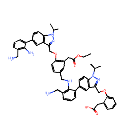 CCOC(=O)Cc1cc(CNc2c(CN)cccc2-c2ccc3c(c2)c(COc2ccccc2CC(=O)O)nn3C(C)C)ccc1OCc1nn(C(C)C)c2ccc(-c3cccc(CN)c3N)cc12